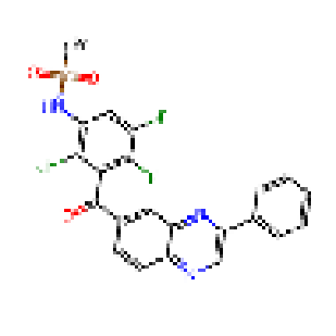 CCCS(=O)(=O)Nc1cc(F)c(F)c(C(=O)c2ccc3ncc(-c4ccccc4)nc3c2)c1Cl